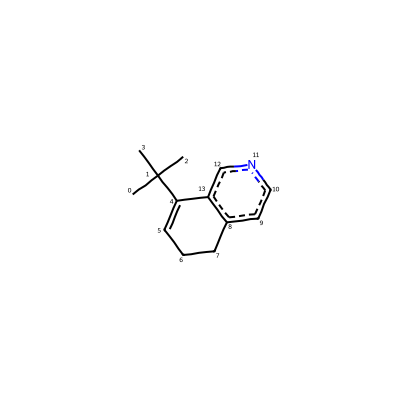 CC(C)(C)C1=CCCc2ccncc21